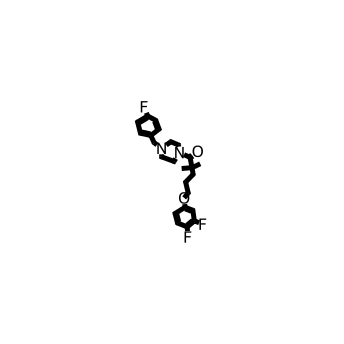 CC(C)(CCCOc1ccc(F)c(F)c1)C(=O)N1CCN(Cc2ccc(F)cc2)CC1